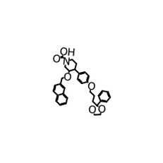 O=C(O)N1CCC(c2ccc(OCCCC3(c4ccccc4)OCCO3)cc2)C(OCc2ccc3ccccc3c2)C1